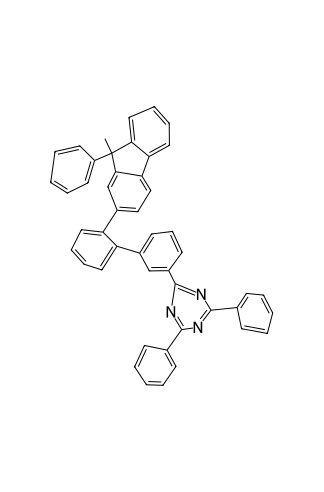 CC1(c2ccccc2)c2ccccc2-c2ccc(-c3ccccc3-c3cccc(-c4nc(-c5ccccc5)nc(-c5ccccc5)n4)c3)cc21